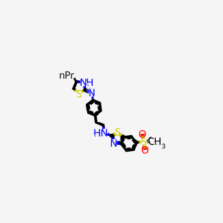 CCCC1CS/C(=N\c2ccc(CCNc3nc4ccc(S(C)(=O)=O)cc4s3)cc2)N1